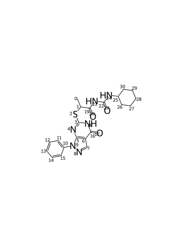 CC(Sc1nc2c(cnn2-c2ccccc2)c(=O)[nH]1)C(=O)NC(=O)NC1CCCCC1